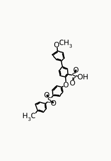 COc1ccc(-c2ccc(Oc3ccc(S(=O)(=O)c4ccc(C)cc4)cc3)c(S(=O)(=O)O)c2)cc1